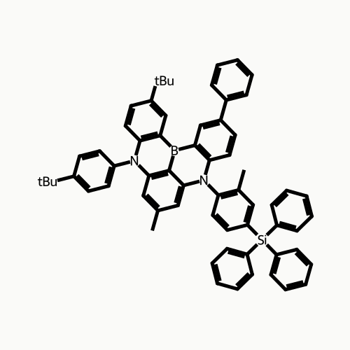 Cc1cc2c3c(c1)N(c1ccc([Si](c4ccccc4)(c4ccccc4)c4ccccc4)cc1C)c1ccc(-c4ccccc4)cc1B3c1cc(C(C)(C)C)ccc1N2c1ccc(C(C)(C)C)cc1